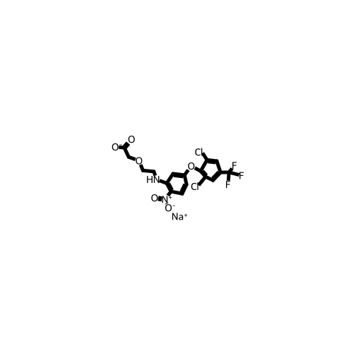 O=C([O-])COCCNc1cc(Oc2c(Cl)cc(C(F)(F)F)cc2Cl)ccc1[N+](=O)[O-].[Na+]